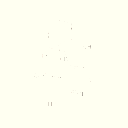 COc1c(C2CC3CC[C@]2(C)C3(C)C)ccnc1C